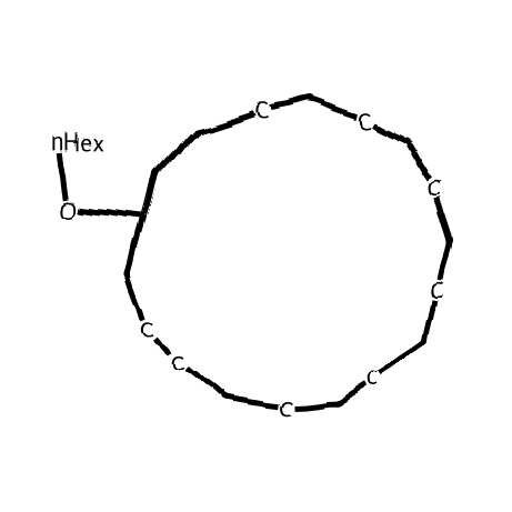 CCCCCCOC1CCCCCCCCCCCCCCCCC1